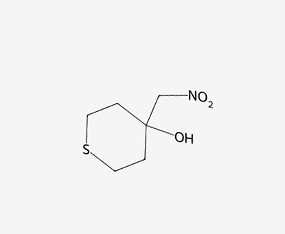 O=[N+]([O-])CC1(O)CCSCC1